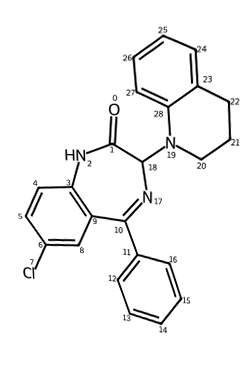 O=C1Nc2ccc(Cl)cc2C(c2ccccc2)=NC1N1CCCc2ccccc21